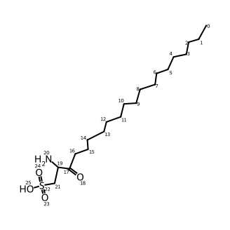 CCCCCCCCCCCCCCCCCC(=O)C(N)CS(=O)(=O)O